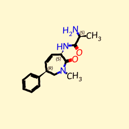 C[C@H](N)C(=O)N[C@H]1C=C[C@H](c2ccccc2)CN(C)C1=O